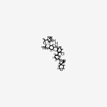 CC(COC(C)c1nn[nH]n1)N[C@H]1CC[C@H](Nc2cc(-c3cccc(NCC4(C#N)CCOCC4)n3)c(Cl)cn2)CC1